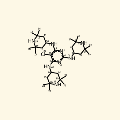 CC1(C)CC(Nc2nc(NC3CC(C)(C)NC(C)(C)C3)c(Cl)c(NC3CC(C)(C)NC(C)(C)C3)n2)CC(C)(C)N1